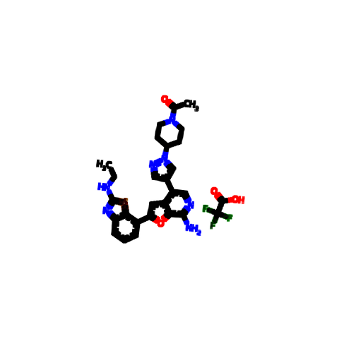 CCNc1nc2cccc(-c3cc4c(-c5cnn(C6CCN(C(C)=O)CC6)c5)cnc(N)c4o3)c2s1.O=C(O)C(F)(F)F